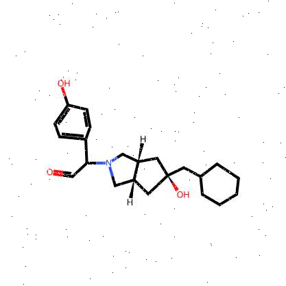 O=CC(c1ccc(O)cc1)N1C[C@@H]2C[C@](O)(CC3CCCCC3)C[C@@H]2C1